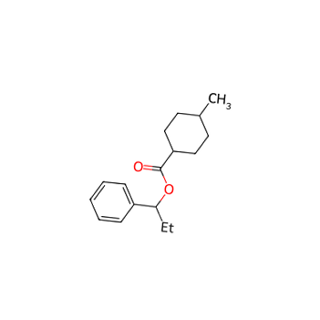 CCC(OC(=O)C1CCC(C)CC1)c1ccccc1